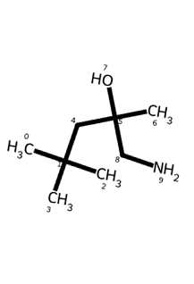 CC(C)(C)CC(C)(O)CN